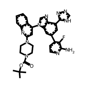 CC(C)(C)OC(=O)N1CCN(c2cc(-n3cnc4c(-c5nnc[nH]5)cc(-c5ccnc(N)c5F)cc43)c3ccccc3n2)CC1